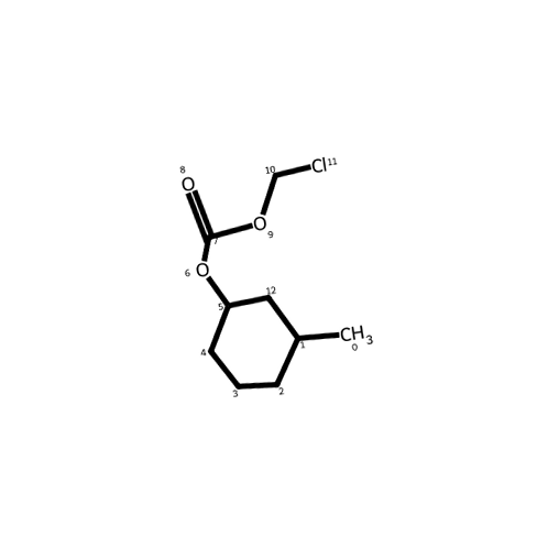 CC1CCCC(OC(=O)OCCl)C1